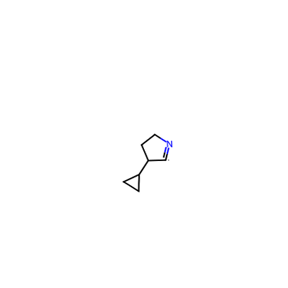 [C]1=NCCC1C1CC1